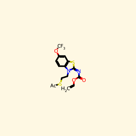 C=COC(=O)N=c1sc2cc(OC(F)(F)F)ccc2n1CCSC(C)=O